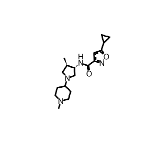 C[C@@H]1CN(C2CCN(C)CC2)C[C@H]1NC(=O)c1cc(C2CC2)on1